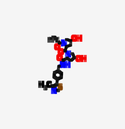 CCCC(=O)N1CC(O)CC1C(=O)N1CC(O)CC1C(=O)NCc1ccc(-c2scnc2C)cc1